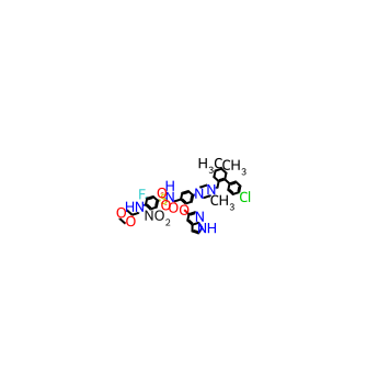 CC1CN(c2ccc(C(=O)NS(=O)(=O)c3cc(F)c(NCC4COCCO4)c([N+](=O)[O-])c3)c(Oc3cnc4[nH]ccc4c3)c2)CCN1CC1=C(c2ccc(Cl)cc2)CC(C)(C)CC1